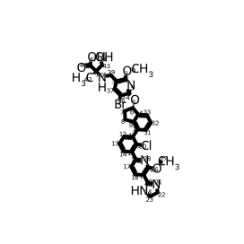 COc1nc(O[C@H]2CCc3c(-c4cccc(-c5ccc(C6=NCCN6)c(OC)n5)c4Cl)cccc32)c(Br)cc1CN[C@](C)(CO)C(=O)O